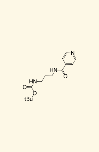 CC(C)(C)OC(=O)NCCCNC(=O)c1ccncc1